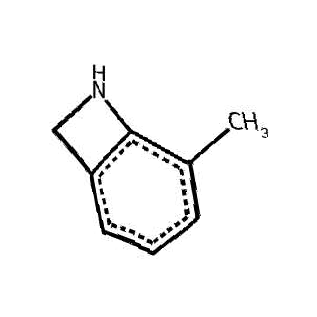 Cc1cccc2c1NC2